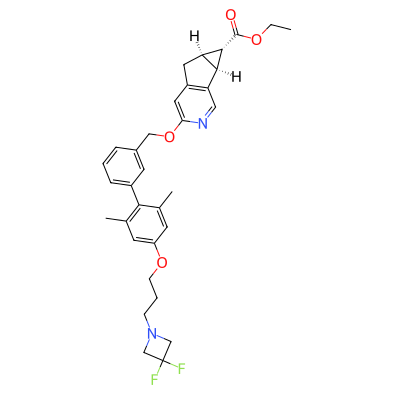 CCOC(=O)[C@H]1[C@@H]2Cc3cc(OCc4cccc(-c5c(C)cc(OCCCN6CC(F)(F)C6)cc5C)c4)ncc3[C@@H]21